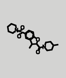 CC1CCN(C(=O)C2Oc3ccc(S(=O)(=O)N4CCCCC4)cc3C2C)CC1